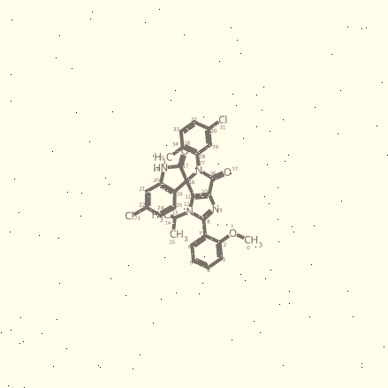 COc1ccccc1-c1nc2c(n1C(C)C)C1(C(=O)Nc3cc(Cl)ccc31)N(c1cc(Cl)ccc1C)C2=O